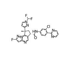 C[C@@]1(c2ccn(C(F)F)n2)C[C@H](C(=O)Nc2ccc(-c3ncccn3)c(Cl)c2)c2cnc3cc(F)nn3c21